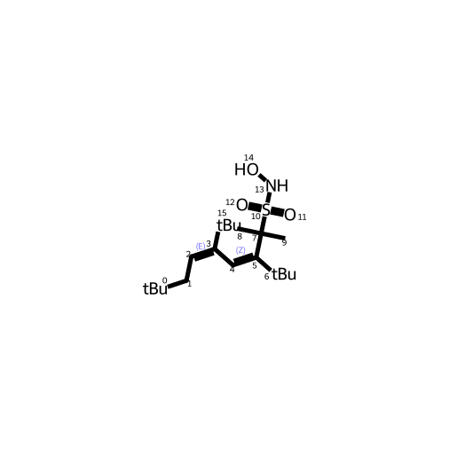 CC(C)(C)C/C=C(\C=C(\C(C)(C)C)C(C)(C)S(=O)(=O)NO)C(C)(C)C